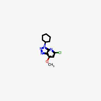 COc1cc(Cl)nc2c1nnn2C1CCCCC1